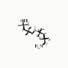 CC(C)(N)CC(C)(C)CNC(C)(C)CC(C)(C)CN